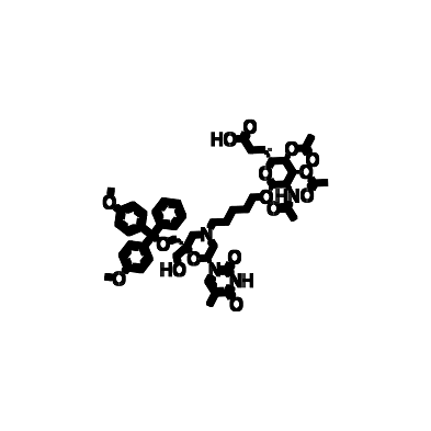 COc1ccc(C(OC[C@]2(CO)CN(CCCCCO[C@@H]3O[C@H]([CH]CC(=O)O)[C@@H](OC(C)=O)[C@H](OC(C)=O)[C@H]3NC(C)=O)C[C@H](n3cc(C)c(=O)[nH]c3=O)O2)(c2ccccc2)c2ccc(OC)cc2)cc1